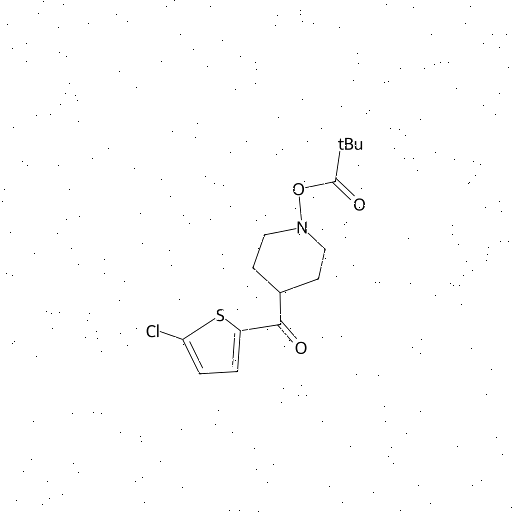 CC(C)(C)C(=O)ON1CCC(C(=O)c2ccc(Cl)s2)CC1